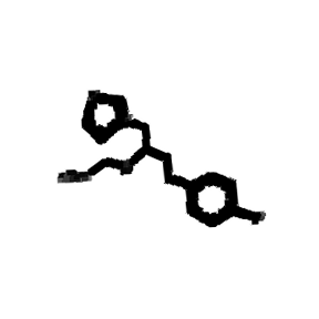 CCCCCCCCCCCOC(CCc1ccc(F)cc1)Cn1ccnc1